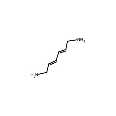 NCC=CC=CCN